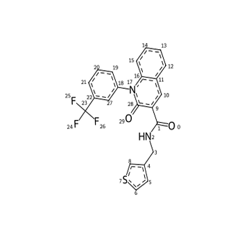 O=C(NCc1ccsc1)c1cc2ccccc2n(-c2cccc(C(F)(F)F)c2)c1=O